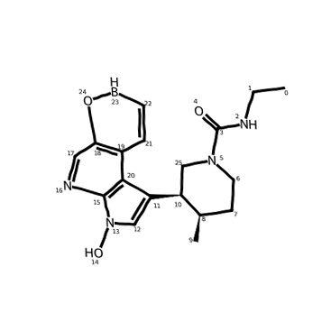 CCNC(=O)N1CC[C@@H](C)[C@@H](c2cn(O)c3ncc4c(c23)C=CBO4)C1